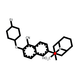 CCC1CCC(Oc2ccc3cc(C(C)N4C5CCCC4CC(C(=O)O)C5)ccc3c2C#N)CC1